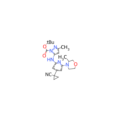 Cc1cc(Nc2cc(C3(C#N)CC3)cc(N3CCOCC3C)n2)n(C(=O)OC(C)(C)C)n1